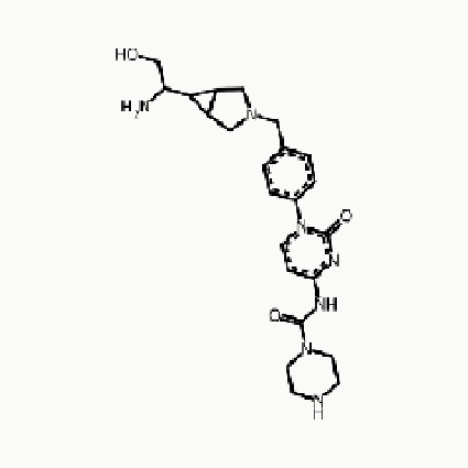 NC(CO)C1C2CN(Cc3ccc(-n4ccc(NC(=O)N5CCNCC5)nc4=O)cc3)CC21